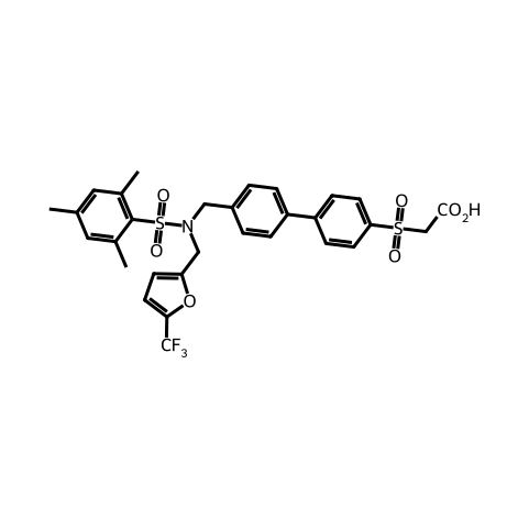 Cc1cc(C)c(S(=O)(=O)N(Cc2ccc(-c3ccc(S(=O)(=O)CC(=O)O)cc3)cc2)Cc2ccc(C(F)(F)F)o2)c(C)c1